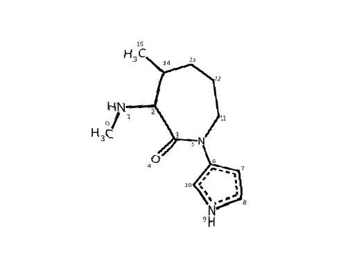 CNC1C(=O)N(c2cc[nH]c2)CCCC1C